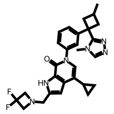 CC1CC(c2cccc(-n3cc(C4CC4)c4cc(CN5CC(F)(F)C5)[nH]c4c3=O)c2)(c2nncn2C)C1